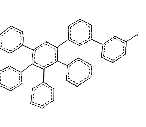 Ic1cccc(-c2cccc(-c3cc(-c4ccccc4)c(-c4ccccc4)c(-c4ccccc4)c3-c3ccccc3)c2)c1